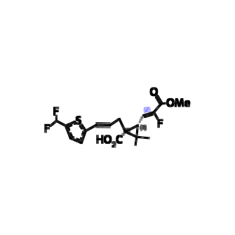 COC(=O)/C(F)=C/[C@@H]1C(C)(C)[C@]1(CC#Cc1ccc(C(F)F)s1)C(=O)O